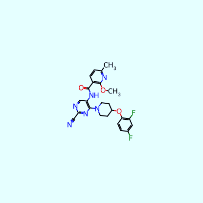 COc1nc(C)ccc1C(=O)Nc1cnc(C#N)nc1N1CCC(Oc2ccc(F)cc2F)CC1